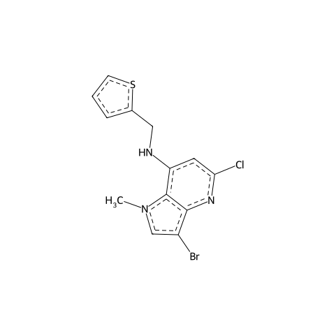 Cn1cc(Br)c2nc(Cl)cc(NCc3cccs3)c21